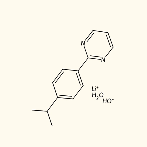 CC(C)c1ccc(-c2n[c]ccn2)cc1.O.[Li+].[OH-]